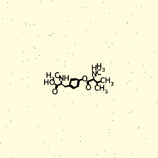 CN[C@@H](Cc1ccc(OC(=O)[C@@H](NC)C(C)C)cc1)C(=O)O